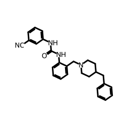 N#Cc1cccc(NC(=O)Nc2ccccc2CN2CCC(Cc3ccccc3)CC2)c1